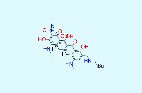 CCC(C)CNCc1cc(N(C)C)c2c(c1O)C(=O)C1=C(O)[C@]3(O)C(=O)C(C(N)=O)=C(O)[C@@H](N(C)C)[C@H]3C[C@@H]1C2